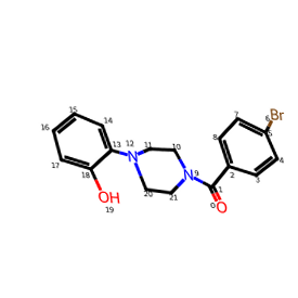 O=C(c1ccc(Br)cc1)N1CCN(c2ccccc2O)CC1